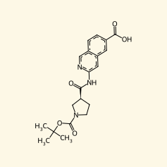 CC(C)(C)OC(=O)N1CC[C@H](C(=O)Nc2cc3cc(C(=O)O)ccc3cn2)C1